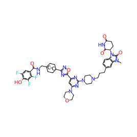 Cn1c(=O)n([C@@H]2CCC(=O)NC2=O)c2ccc(CCCN3CCN(c4nc(-c5nc(C67CCC(CNC(=O)c8cc(F)c(O)c(F)c8F)(CC6)CC7)no5)cc(N5CCOCC5)n4)CC3)cc21